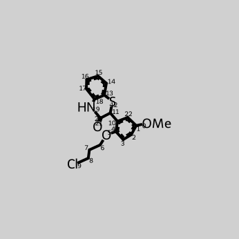 COc1ccc(OCCCCl)c(C2Sc3ccccc3NC2=O)c1